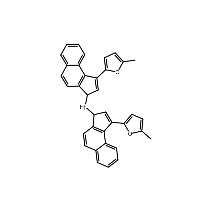 Cc1ccc(C2=C[CH]([Hf][CH]3C=C(c4ccc(C)o4)c4c3ccc3ccccc43)c3ccc4ccccc4c32)o1